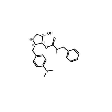 CN(C)c1ccc(C[C@H]2NC[C@H](O)[C@H]2OC(=O)NCc2ccccc2)cc1